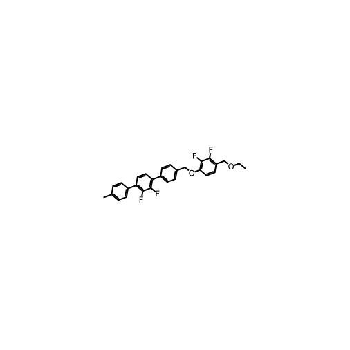 CCOCc1ccc(OCc2ccc(-c3ccc(-c4ccc(C)cc4)c(F)c3F)cc2)c(F)c1F